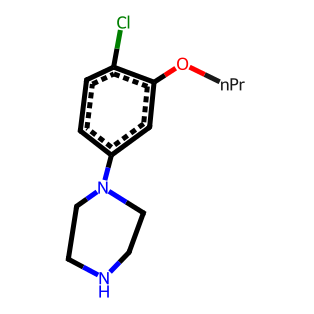 CCCOc1cc(N2CCNCC2)ccc1Cl